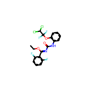 CCO/C(=N\C(=O)Nc1ccccc1OC(F)(F)C(Cl)Cl)c1c(F)cccc1F